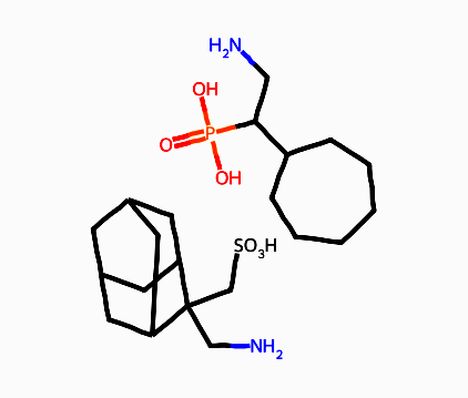 NCC(C1CCCCCC1)P(=O)(O)O.NCC1(CS(=O)(=O)O)C2CC3CC(C2)CC1C3